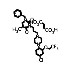 Cc1cn(Cc2ccccc2)c(=O)n(CCCN2CCN(c3ccc(Cl)cc3OCC(F)(F)F)CC2)c1=O.O=C(O)C=CC(=O)O